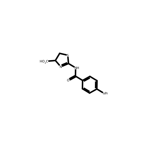 CCCc1ccc(C(=O)NC2=NC(C(=O)O)CS2)cc1